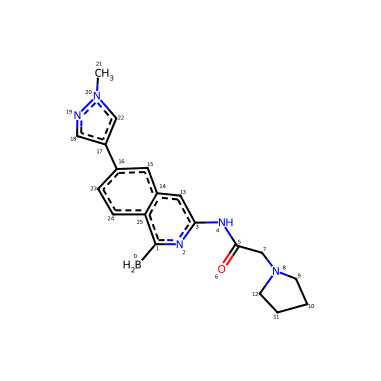 Bc1nc(NC(=O)CN2CCCC2)cc2cc(-c3cnn(C)c3)ccc12